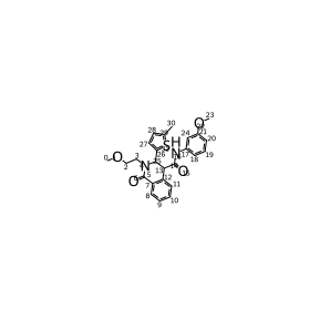 COCCN1C(=O)c2ccccc2C(C(=O)Nc2cccc(OC)c2)C1c1ccc(C)s1